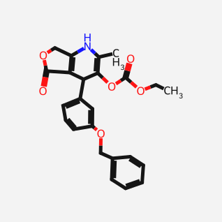 CCOC(=O)OC1=C(C)NC2=C(C(=O)OC2)C1c1cccc(OCc2ccccc2)c1